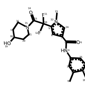 Cc1cc(NC(=O)c2cc(C(F)(F)C(=O)N3CCC(O)CC3)n(C)c2)ccc1F